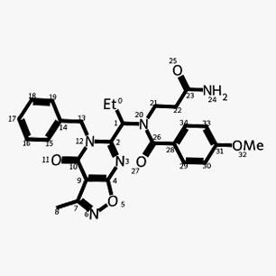 CCC(c1nc2onc(C)c2c(=O)n1Cc1ccccc1)N(CCC(N)=O)C(=O)c1ccc(OC)cc1